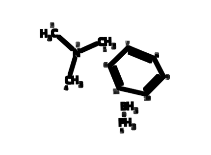 B.CN(C)C.P.c1ccccc1